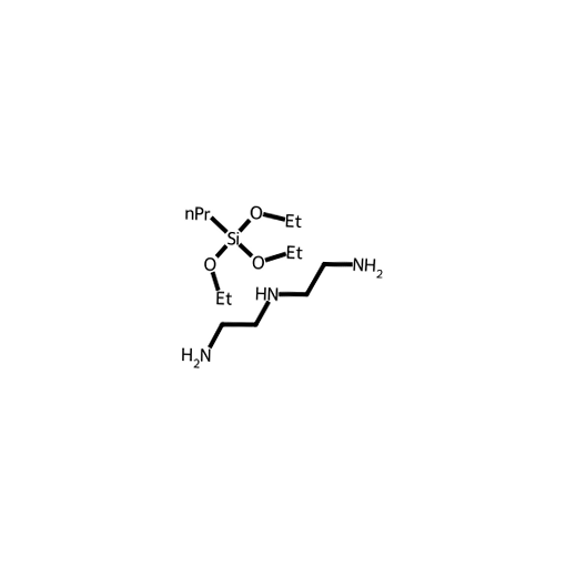 CCC[Si](OCC)(OCC)OCC.NCCNCCN